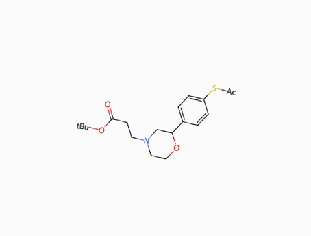 CC(=O)Sc1ccc(C2CN(CCC(=O)OC(C)(C)C)CCO2)cc1